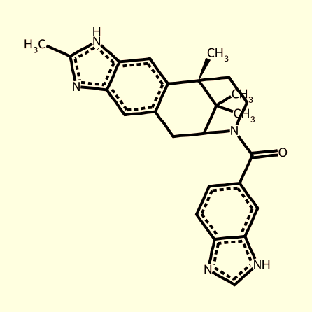 Cc1nc2cc3c(cc2[nH]1)[C@]1(C)CCN(C(=O)c2ccc4nc[nH]c4c2)C(C3)C1(C)C